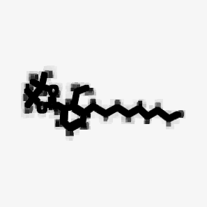 CCCCCCCCCc1cccc(B2OC(C)(C)C(C)(C)O2)c1CC